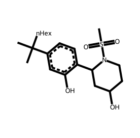 CCCCCCC(C)(C)c1ccc(C2CC(O)CCN2S(C)(=O)=O)c(O)c1